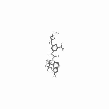 CN1CC(Oc2cc(NC(=O)N3C[C@@](C)(C(F)(F)F)c4c3cnc3cc(Cl)nn43)cc(C(F)F)n2)C1